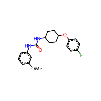 COc1cccc(NC(=O)NC2CCC(Oc3ccc(F)cc3)CC2)c1